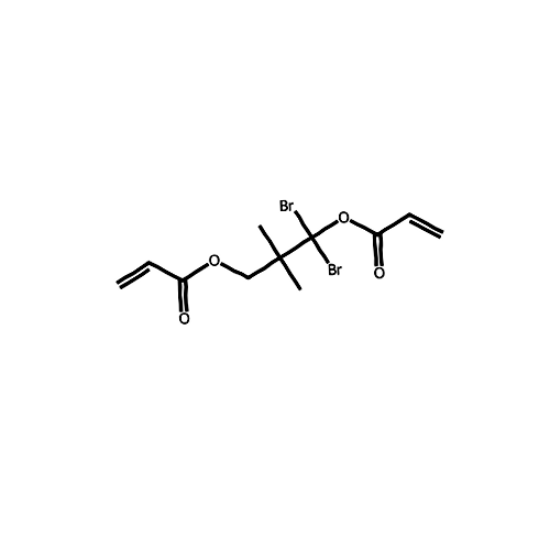 C=CC(=O)OCC(C)(C)C(Br)(Br)OC(=O)C=C